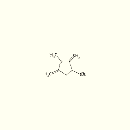 C=C1CC(C(C)(C)C)C(=C)N1C